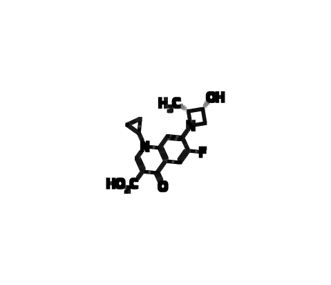 C[C@@H]1[C@H](O)CN1c1cc2c(cc1F)c(=O)c(C(=O)O)cn2C1CC1